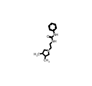 CC1CN(CCNC(=O)Nc2ccccc2)CC1C